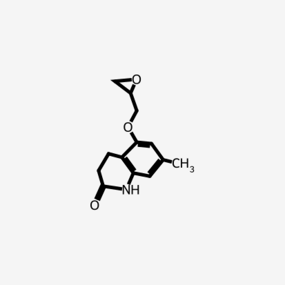 Cc1cc2c(c(OCC3CO3)c1)CCC(=O)N2